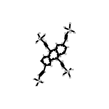 C[Si](C)(C)C#Cc1ccc2c(C#C[Si](C)(C)C)c3cc(C#C[Si](C)(C)C)ccc3c(C#C[Si](C)(C)C)c2c1